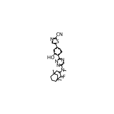 CN(c1cnc(-c2ccc(-c3cnc(C#N)s3)cc2O)nn1)[C@@H]1C[C@@]2(C)CCC[C@](C)(C2)[C@@H]1F